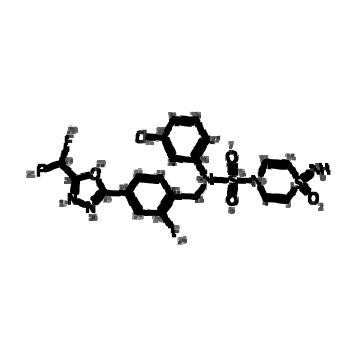 N=S1(=O)C=CN(S(=O)(=O)N(Cc2ccc(-c3nnc(C(F)F)o3)cc2F)c2cccc(Cl)c2)C=C1